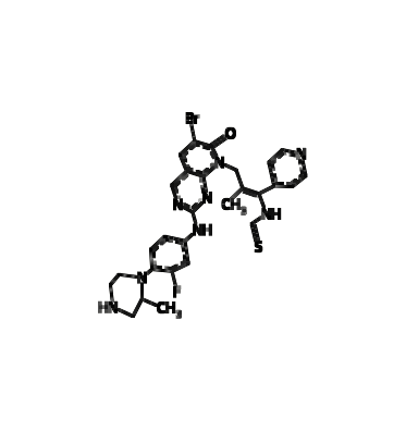 C/C(Cn1c(=O)c(Br)cc2cnc(Nc3ccc(N4CCNCC4C)c(F)c3)nc21)=C(\NC=S)c1ccncc1